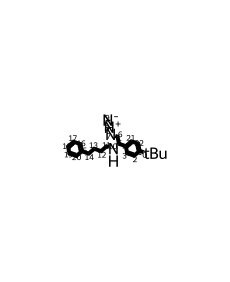 CC(C)(C)c1ccc(C(CN=[N+]=[N-])NCCCCc2ccccc2)cc1